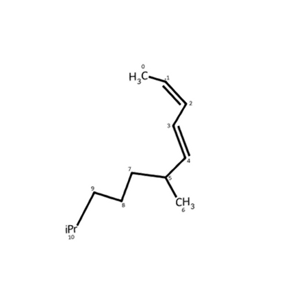 C/[C]=C\C=C\C(C)CCCC(C)C